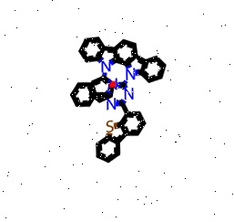 c1ccc(-c2nc(-c3cccc4c3sc3ccccc34)nc(-n3c4ccccc4c4ccc5c6ccccc6n(-c6ccccc6)c5c43)n2)cc1